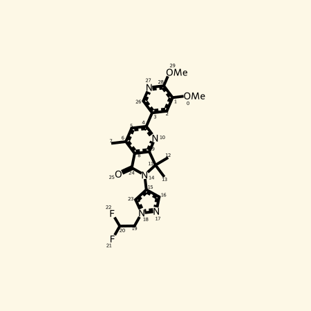 COc1cc(-c2cc(C)c3c(n2)C(C)(C)N(c2cnn(CC(F)F)c2)C3=O)cnc1OC